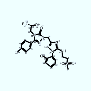 CS(=O)(=O)CCNc1nc(Cn2nc(-c3ccc(Cl)cc3)n(C[C@H](O)C(F)(F)F)c2=O)nn1-c1ccccc1Cl